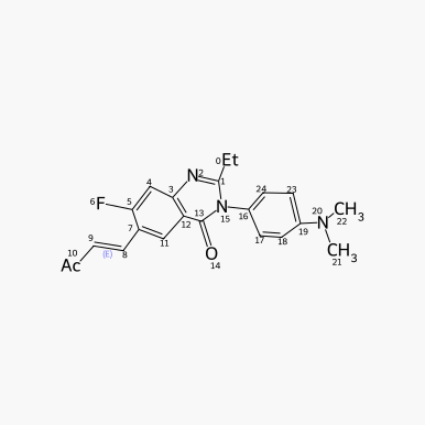 CCc1nc2cc(F)c(/C=C/C(C)=O)cc2c(=O)n1-c1ccc(N(C)C)cc1